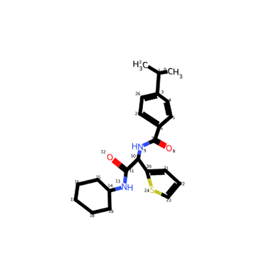 CC(C)c1ccc(C(=O)NC(C(=O)NC2CCCCC2)c2cccs2)cc1